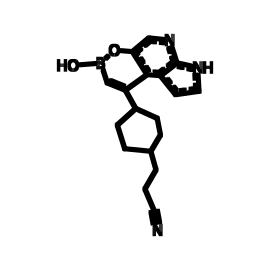 N#CCCC1CCC(C2=CB(O)Oc3cnc4[nH]ccc4c32)CC1